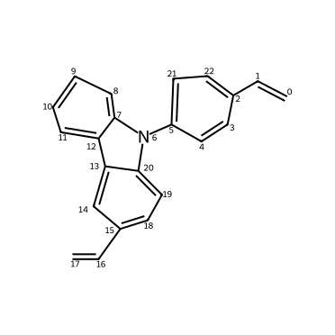 C=Cc1ccc(-n2c3ccccc3c3cc(C=C)ccc32)cc1